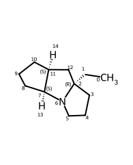 CC[C@]12CCCN1[C@H]1CCC[C@H]1C2